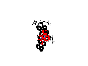 CC(C)(C)c1ccc2c(c1)C1(c3ccccc3-c3ccc(N(c4ccc(-c5cccc6cccc(-c7ccccc7)c56)cc4)c4ccccc4-c4ccccc4-c4ccccc4-c4ccccc4)cc31)c1cc(C(C)(C)C)ccc1-2